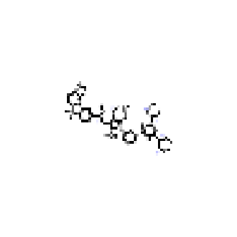 C=C/C(=C\c1c(/C=C\BC)c(C)n(-c2cccc(-c3nc(C(/C=C\C)=C/C)nc(C(/C=C\C)=C/C)n3)c2)c1BC)c1ccc2c(c1)-c1c(ccc3ncoc13)C2(C)C